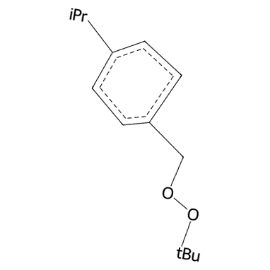 CC(C)c1ccc(COOC(C)(C)C)cc1